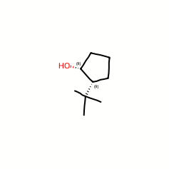 CC(C)(C)[C@H]1CCC[C@H]1O